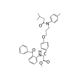 COC(=O)C(Cc1ccc(OCCCN(C(=O)CC(C)C)c2ccc(C)cc2)cc1)Nc1ccccc1C(=O)c1ccccc1